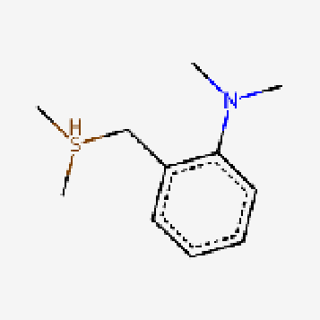 CN(C)c1ccccc1C[SH](C)C